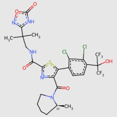 C[C@H]1CCCCN1C(=O)c1nc(C(=O)NCC(C)(C)c2noc(=O)[nH]2)sc1-c1ccc(C(O)(C(F)(F)F)C(F)(F)F)c(Cl)c1Cl